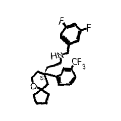 Fc1cc(F)cc(CNCC[C@]2(c3cccc(C(F)(F)F)c3)CCOC3(CCCC3)C2)c1